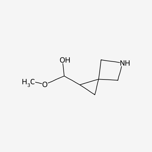 COC(O)C1CC12CNC2